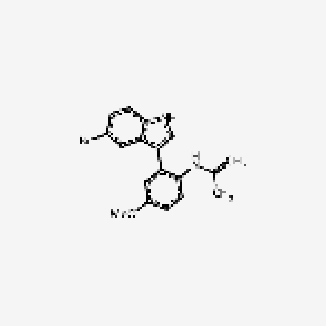 C=C(C)Nc1ccc(OC)cc1-c1c[nH]c2ccc(Br)cc12